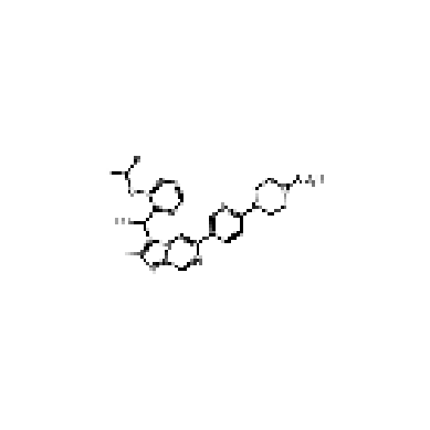 Cc1nc2cnc(-c3ccc(N4CCN(C(=O)O)CC4)nc3)cn2c1C(O)c1ccccc1OC(F)F